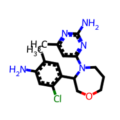 Cc1cc(N2CCCOCC2c2cc(C)c(N)cc2Cl)nc(N)n1